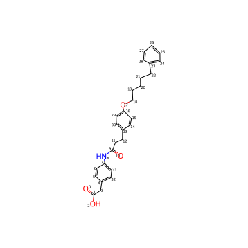 O=C(O)Cc1ccc(NC(=O)CCc2ccc(OCCCCCc3ccccc3)cc2)cc1